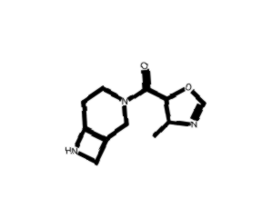 CC1N=COC1C(=O)N1CCC2NCC2C1